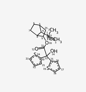 CCCC[N+](C)(C)C1C2CCC1C(OC(=O)C(O)(c1cccs1)c1cccs1)C2